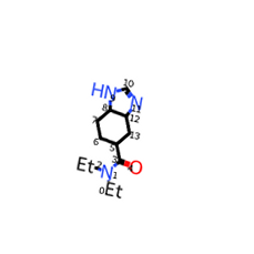 CCN(CC)C(=O)C1CCC2NC=NC2C1